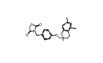 Cc1cc(C)c2c(c1)OC(C)(COc1ccc(CN3C(=O)CSC3=O)cc1)CC2